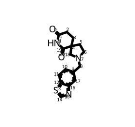 O=C1CCC2(CCN(Cc3ccc4scnc4c3)C2)C(=O)N1